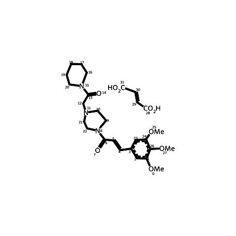 COc1cc(C=CC(=O)N2CCN(CC(=O)N3CCCCC3)CC2)cc(OC)c1OC.O=C(O)C=CC(=O)O